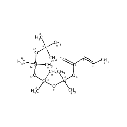 C/C=C/C(=O)O[Si](C)(C)O[Si](C)(C)O[Si](C)(C)O[Si](C)(C)C